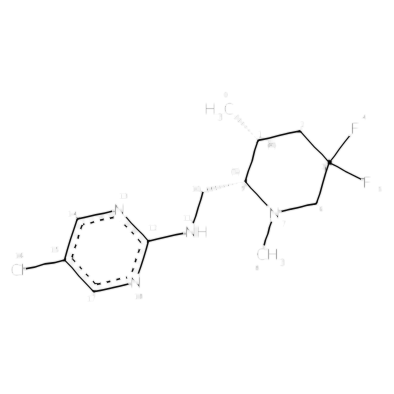 C[C@@H]1CC(F)(F)CN(C)[C@@H]1CNc1ncc(Cl)cn1